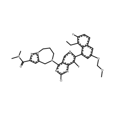 CCc1c(F)ccc2cc(OCOC)cc(-c3ncc4c(N5CCCn6nc(C(=O)N(C)C)cc6C5)nc(Cl)nc4c3F)c12